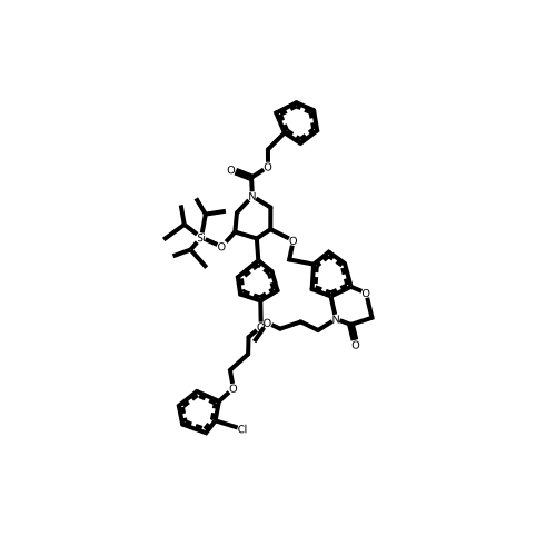 COCCCN1C(=O)COc2ccc(COC3CN(C(=O)OCc4ccccc4)CC(O[Si](C(C)C)(C(C)C)C(C)C)C3c3ccc(OCCCOc4ccccc4Cl)cc3)cc21